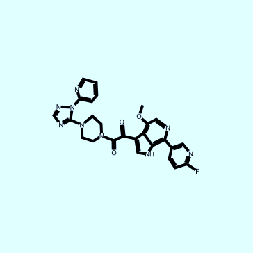 COc1cnc(-c2ccc(F)nc2)c2[nH]cc(C(=O)C(=O)N3CCN(c4ncnn4-c4ccccn4)CC3)c12